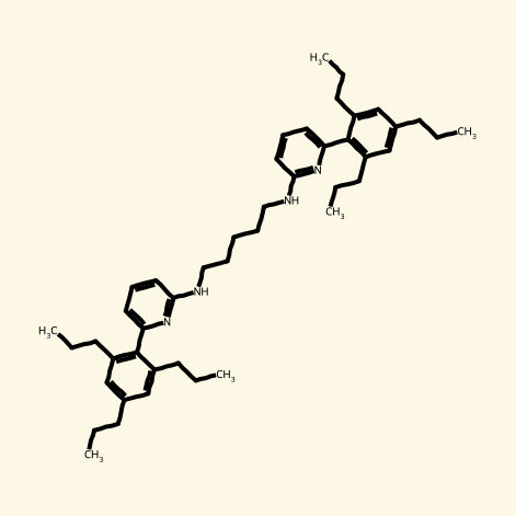 CCCc1cc(CCC)c(-c2cccc(NCCCCCNc3cccc(-c4c(CCC)cc(CCC)cc4CCC)n3)n2)c(CCC)c1